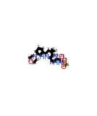 CC1(C)CC(c2cccc(N3CCOCC3)c2)Nc2ccc(C(=O)NS(C)(=O)=O)nc21